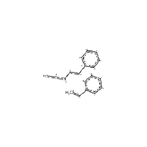 C=Cc1ccccc1.O=C=NC=Cc1ccccc1